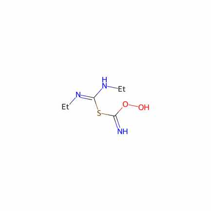 CCN=C(NCC)SC(=N)OO